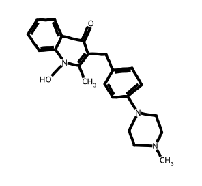 Cc1c(Cc2ccc(N3CCN(C)CC3)cc2)c(=O)c2ccccc2n1O